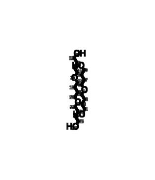 OCCCCOCCCCO.OCCCCOCCCCOCCCCO